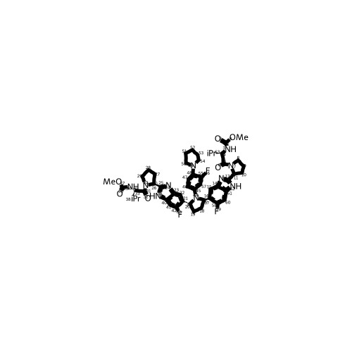 COC(=O)N[C@H](C(=O)N1CCCC1c1nc2cc([C@H]3CC[C@H](c4cc5nc([C@@H]6CCCN6C(=O)[C@@H](NC(=O)OC)C(C)C)[nH]c5cc4F)N3c3ccc(N4CCCCC4)c(F)c3)c(F)cc2[nH]1)C(C)C